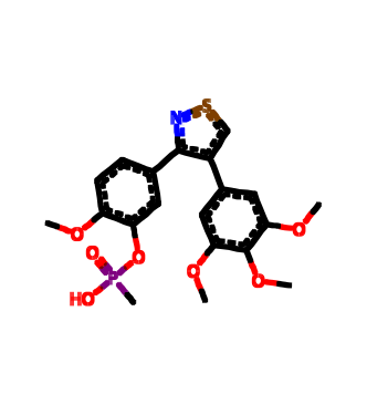 COc1ccc(-c2nscc2-c2cc(OC)c(OC)c(OC)c2)cc1OP(C)(=O)O